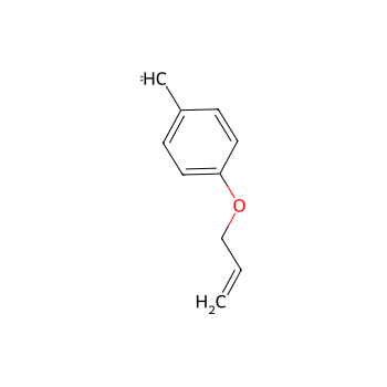 [CH]c1ccc(OCC=C)cc1